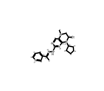 CCC1CN(C)c2cnc(N/N=C(\C)c3cccnc3)nc2N1C1CCCC1